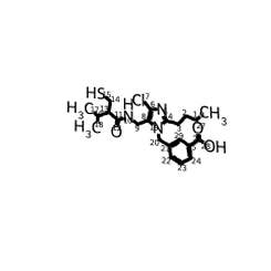 CCCCc1nc(Cl)c(CNC(=O)C(CS)C(C)C)n1Cc1cccc(C(=O)O)c1